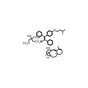 CC/C(=C(\c1ccccc1)c1ccc(OCCN(C)C)cc1)c1ccccc1.CC1=CCC[C@@]2(C)CC[C@H]3[C@H](C)CC[C@@](O)(/C=C/12)C3(C)C.O=C(O)CC(O)(CC(=O)O)C(=O)O